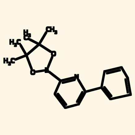 CC1(C)OB(c2cccc(-c3ccccc3)n2)OC1(C)C